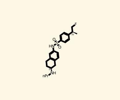 CCCN[C@H]1CCc2cc(NS(=O)(=O)c3ccc([C@H](C)CF)cc3)ccc2C1